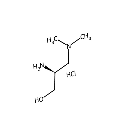 CN(C)C[C@H](N)CO.Cl